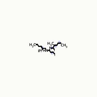 C=CC/C=C(/CNC(/C=C/I)/N=C(I)/C(C)=C/C=C\C)C(C)C